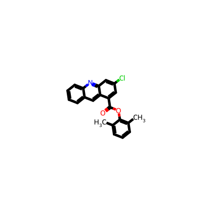 Cc1cccc(C)c1OC(=O)c1cc(Cl)cc2nc3ccccc3cc12